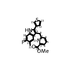 COC(=O)c1cccc(Cc2c(-c3ccsc3)[nH]c3cc(F)c(C)cc23)n1